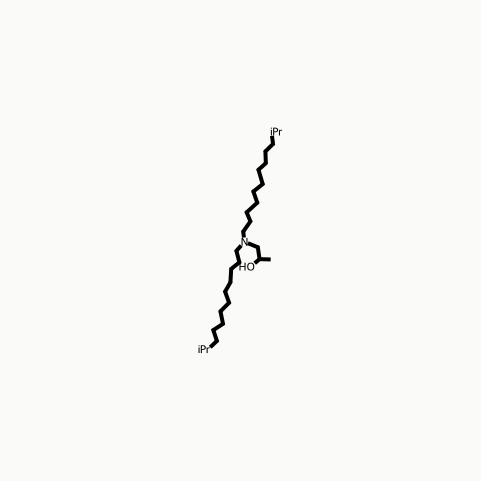 CC(C)CCCCCCCCCCN(CCCCCCCCCCC(C)C)CC(C)O